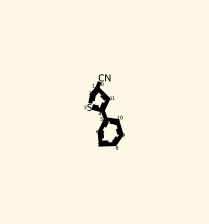 N#Cc1csc(-c2ccccc2)c1